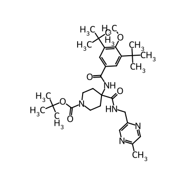 COc1c(C(C)(C)C)cc(C(=O)NC2(C(=O)NCc3cnc(C)cn3)CCN(C(=O)OC(C)(C)C)CC2)cc1C(C)(C)C